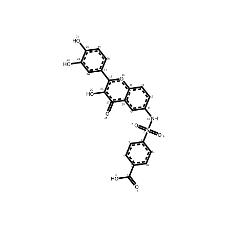 O=C(O)c1ccc(S(=O)(=O)Nc2ccc3oc(-c4ccc(O)c(O)c4)c(O)c(=O)c3c2)cc1